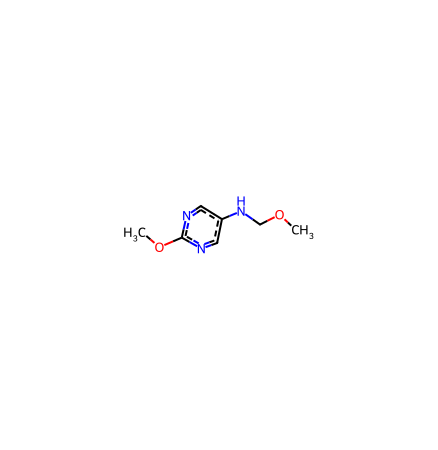 COCNc1cnc(OC)nc1